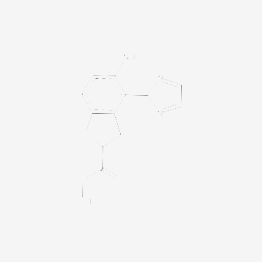 COC(=O)C1Cc2c(ccc(N)c2C2N=CC=N2)O1